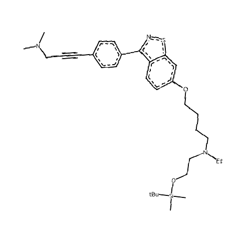 CCN(CCCCOc1ccc2c(-c3ccc(C#CCN(C)C)cc3)nsc2c1)CCO[Si](C)(C)C(C)(C)C